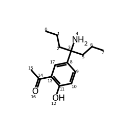 CCCC(N)(CCC)c1ccc(O)c(C(C)=O)c1